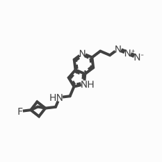 [N-]=[N+]=NCCc1cc2[nH]c(CNCC34CC(F)(C3)C4)cc2cn1